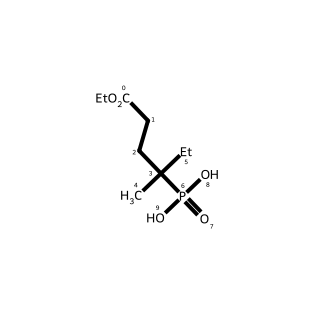 CCOC(=O)CCC(C)(CC)P(=O)(O)O